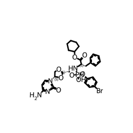 Nc1ccn([C@@H]2CO[C@H](CO[PH](O)(N[C@@H](Cc3ccccc3)C(=O)OC3CCCCC3)Oc3ccc(Br)cc3)O2)c(=O)n1